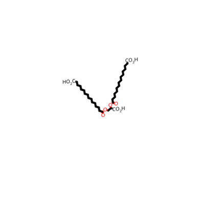 O=C(O)CCCCCCCCCCCCCCC(=O)OCC(OC(=O)CCCCCCCCCCCCCCC(=O)O)C(=O)O